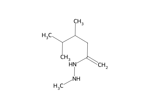 C=C(CC(C)C(C)C)NNC